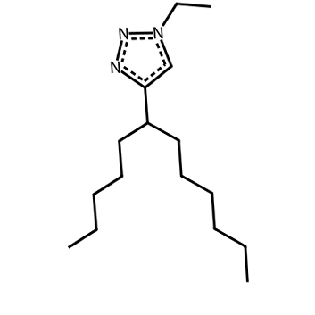 CCCCCCC(CCCCC)c1cn(CC)nn1